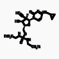 C#C[C@]1(F)C(O)[C@@H](COP(=O)(NCC(=O)OCC)NCC(=O)OCC)O[C@H]1n1ccc(NC2CC2)nc1=O